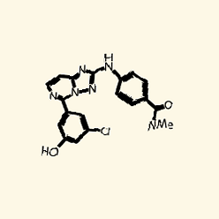 CNC(=O)c1ccc(Nc2nc3ccnc(-c4cc(O)cc(Cl)c4)n3n2)cc1